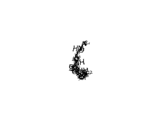 CCN(CC)CCNC(=O)CCCc1ccc(NC[C@H]2SC([C@H](N)C(=O)NCc3ccccc3OC(F)(F)F)N(CC)C2=O)cc1